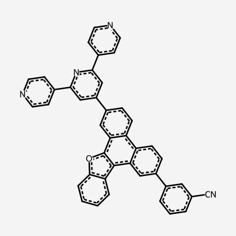 N#Cc1cccc(-c2ccc3c4ccc(-c5cc(-c6ccncc6)nc(-c6ccncc6)c5)cc4c4oc5ccccc5c4c3c2)c1